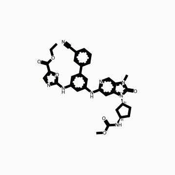 CCOC(=O)c1cnc(Nc2cc(Nc3cc4c(cn3)n(C)c(=O)n4[C@@H]3CC[C@@H](NC(=O)OC)C3)cc(-c3cccc(C#N)c3)c2)o1